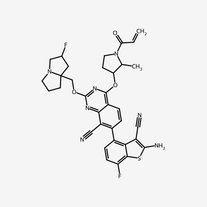 C=CC(=O)N1CCC(Oc2nc(OCC34CCCN3CC(F)C4)nc3c(C#N)c(-c4ccc(F)c5sc(N)c(C#N)c45)ccc23)C1C